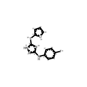 Fc1ccc(Nc2n[nH]c(Sc3ccco3)n2)cc1